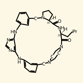 CC(C)C[C@@H]1NC(=O)[C@@H]2CCCN2Cc2cccc(c2)Nc2cc(ncn2)Nc2cccc(c2)CN2CCN(CC2)C1=O